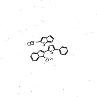 CC1=CC2C=CC=C2S1.[Cl-].[Cl-].[Zr+2][CH]1C(c2ccc(-c3ccccc3)s2)=Cc2ccccc21